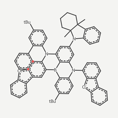 CC(C)(C)c1ccc2c(c1)B1c3cc4c(cc3N(c3ccc(C(C)(C)C)cc3-c3ccccc3)c3cc(N5c6ccccc6C6(C)CCCCC56C)cc(c31)N2c1cccc2c1oc1ccccc12)oc1ccccc14